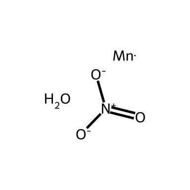 O.O=[N+]([O-])[O-].[Mn]